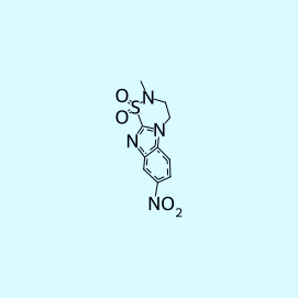 CN1CCn2c(nc3cc([N+](=O)[O-])ccc32)S1(=O)=O